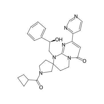 O=C(C1CCC1)N1CCC2(CCn3c(nc(-c4ccncn4)cc3=O)N2C[C@H](O)c2ccccc2)C1